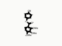 COc1ccc(C(=O)Oc2ccc(C#N)cc2)c(OC)c1OC